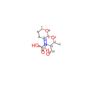 CC(OC1CCCCO1)C(CO)NC(=O)O